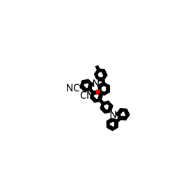 CC1C=Cc2c3c(n(-c4ccc(C#N)c(C#N)c4-c4ccc(C5C=CC(n6c7ccccc7c7ccccc76)=CC5)cc4)c2C1)CCC=C3